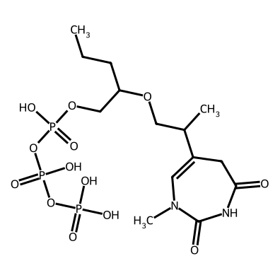 CCCC(COP(=O)(O)OP(=O)(O)OP(=O)(O)O)OCC(C)C1=CN(C)C(=O)NC(=O)C1